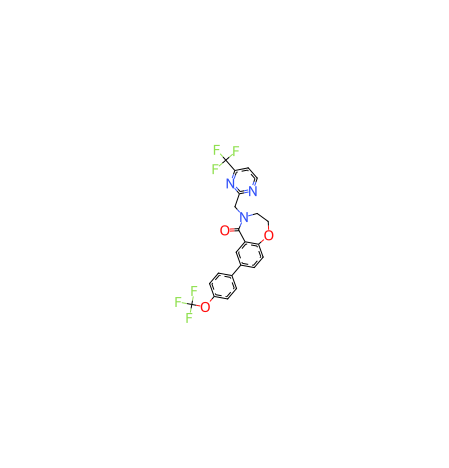 O=C1c2cc(-c3ccc(OC(F)(F)F)cc3)ccc2OCCN1Cc1nccc(C(F)(F)F)n1